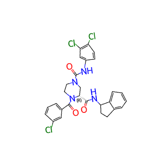 O=C(NC1CCc2ccccc21)[C@H]1CN(C(=O)Nc2ccc(Cl)c(Cl)c2)CCN1C(=O)c1cccc(Cl)c1